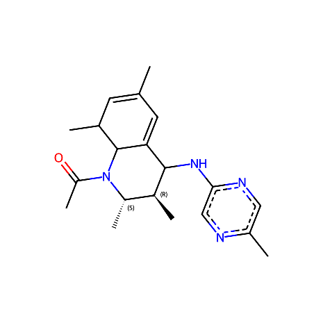 CC(=O)N1C2C(=CC(C)=CC2C)C(Nc2cnc(C)cn2)[C@@H](C)[C@@H]1C